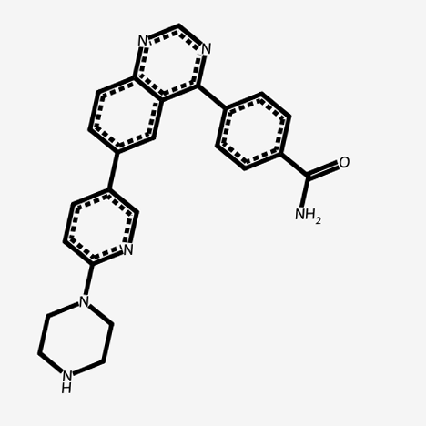 NC(=O)c1ccc(-c2ncnc3ccc(-c4ccc(N5CCNCC5)nc4)cc23)cc1